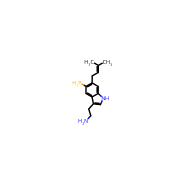 CC(C)=CCc1cc2[nH]cc(CCN)c2cc1P